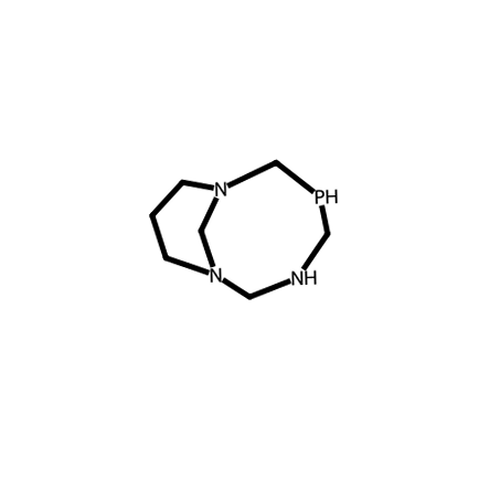 C1CN2CNCPCN(C1)C2